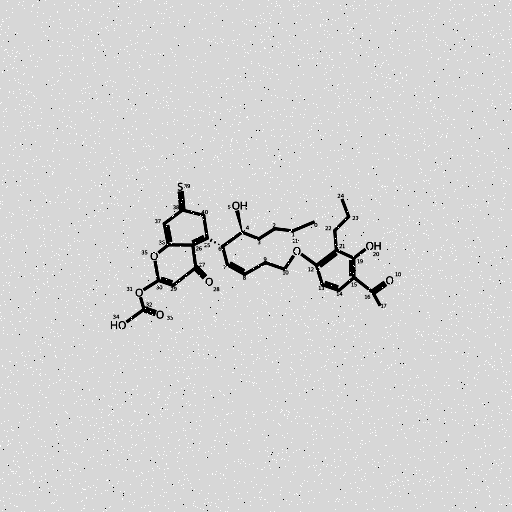 CCCC[C@H](O)[C@H](/C=C\CCOc1ccc(C(C)=O)c(O)c1CCC)C1=c2c(=O)cc(OC(=O)O)oc2=CC(=S)C1